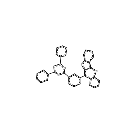 c1ccc(-c2cc(-c3ccccc3)nc(-c3cccc(-c4c5ccccc5nc5c4sc4ccccc45)c3)n2)cc1